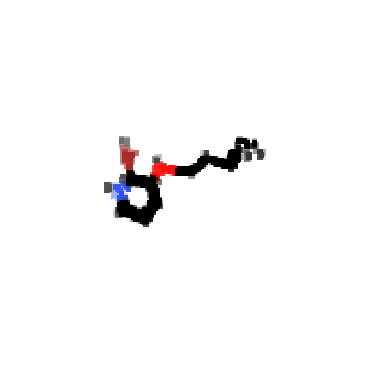 C=CCCOc1cccnc1Br